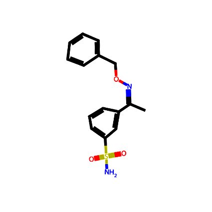 CC(=NOCc1ccccc1)c1cccc(S(N)(=O)=O)c1